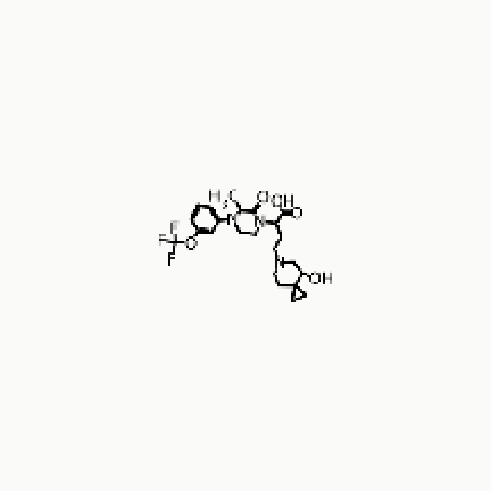 CC1C(=O)N(C(CCN2CCC3(CC3)C(O)C2)C(=O)O)CCN1c1cccc(OC(F)(F)F)c1